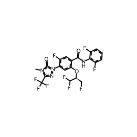 Cn1c(C(F)(F)F)nn(-c2cc(O[C@@H](CF)C(F)F)c(C(=O)Nc3c(F)cccc3F)cc2F)c1=O